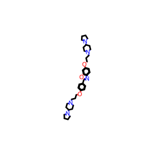 c1cc(-c2nc3ccc(OCCCN4CCC(N5CCCC5)CC4)cc3o2)ccc1OCCCN1CCC(N2CCCC2)CC1